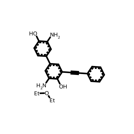 CCOCC.Nc1cc(-c2cc(N)c(O)c(C#Cc3ccccc3)c2)ccc1O